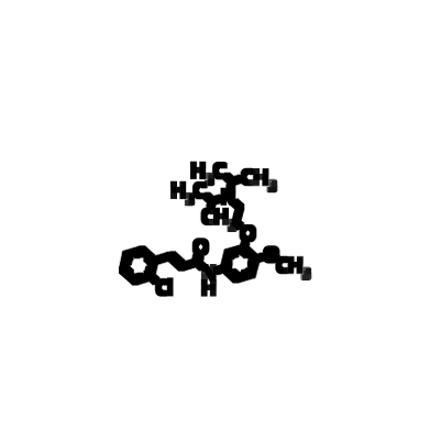 COc1ccc(NC(=O)C=Cc2ccccc2Cl)cc1OCCN(C(C)C)C(C)C